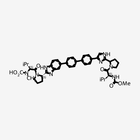 COC(=O)N[C@H](C(=O)N1CCCC1c1nc(-c2ccc(-c3ccc(-c4ccc5[nH]c([C@@H]6CCCN6C(=O)[C@H](C(C)C)N(C)C(=O)O)nc5c4)cc3)cc2)c[nH]1)C(C)C